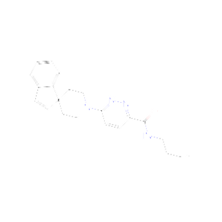 CC(C)CCNC(=O)c1ccc(N2CCC3(C=Cc4ccccc43)CC2)nn1